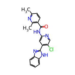 Cc1ccc(C(=O)Nc2cc(-c3nc4ccccc4[nH]3)c(Cl)cn2)c(C)n1